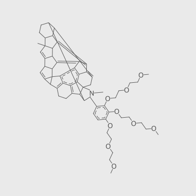 COCCOCCOc1ccc(C2C3C4CCC5C6C7=C8C9=C(CC%10(CN2C)c2c9c9c%11c%12c2=C(CCC=%12C2C%12=CC%13C%14=CC5(C)C7C%14C(=C89)C%13C%12%112)C3%10)C46)c(OCCOCCOC)c1OCCOCCOC